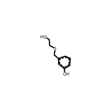 OCCSCc1cccc(O)c1